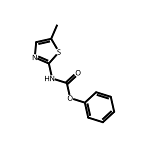 Cc1cnc(NC(=O)Oc2ccccc2)s1